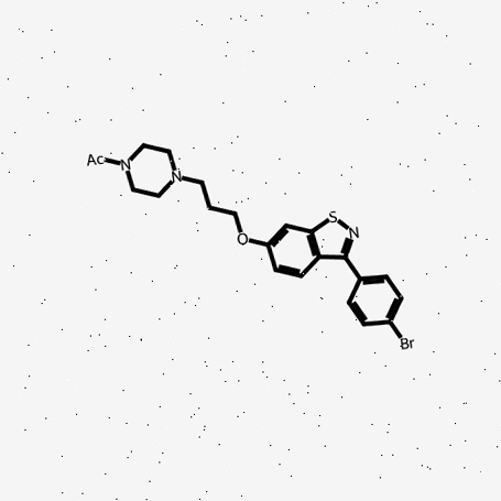 CC(=O)N1CCN(CCCOc2ccc3c(-c4ccc(Br)cc4)nsc3c2)CC1